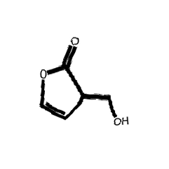 O=C1OC=CC1CO